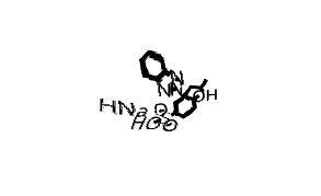 CC(C)CC1(n2nc3ccccc3n2)C=C(S(=O)(=O)O)C=CC1O.[NaH]